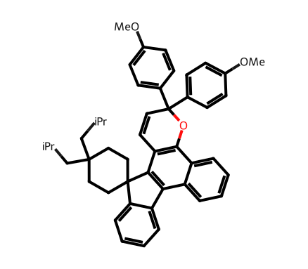 COc1ccc(C2(c3ccc(OC)cc3)C=Cc3c4c(c5ccccc5c3O2)-c2ccccc2C42CCC(CC(C)C)(CC(C)C)CC2)cc1